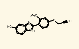 C#CCOc1ccc(-c2nc3cc(C#N)ccc3[nH]2)c(OC)c1